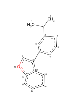 CC(C)c1cccc(-c2coc3ccccc23)c1